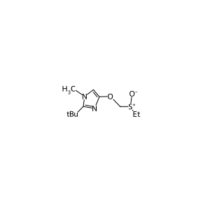 CC[S+]([O-])COc1cn(C)c(C(C)(C)C)n1